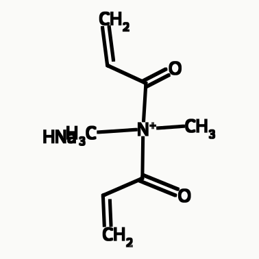 C=CC(=O)[N+](C)(C)C(=O)C=C.[NaH]